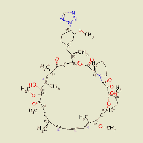 COC1C[C@H](C[C@@H](C)[C@@H]2CC(=O)[C@H](C)/C=C(\C)[C@@H](O)[C@@H](OC)C(=O)[C@@H](C)C[C@H](C)/C=C/C=C/C=C(\C)[C@@H](OC)C[C@@H]3CC[C@@H](C)C(O)(O3)C(=O)C(=O)N3CCCC[C@H]3C(=O)O2)CC[C@@H]1n1ncnn1